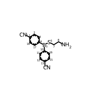 [C-]#[N+]c1ccc(B(SCCN)c2ccc(C#N)cc2)cc1